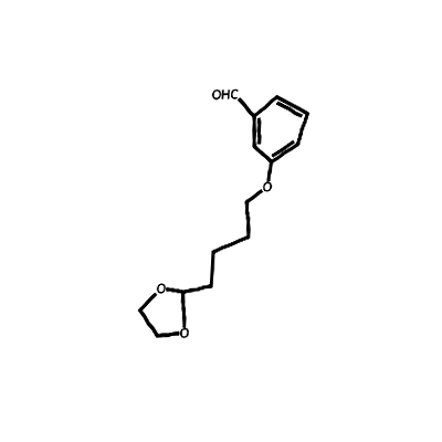 O=Cc1cccc(OCCCCC2OCCO2)c1